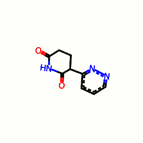 O=C1CCC(c2cccnn2)C(=O)N1